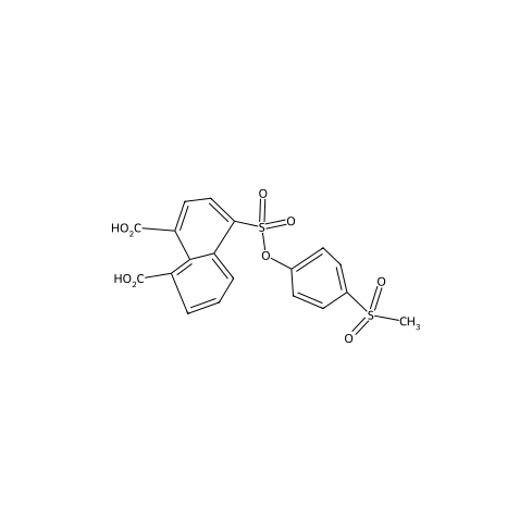 CS(=O)(=O)c1ccc(OS(=O)(=O)c2ccc(C(=O)O)c3c(C(=O)O)cccc23)cc1